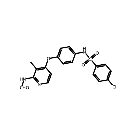 Cc1c(Oc2ccc(NS(=O)(=O)c3ccc(Cl)cc3)cc2)ccnc1NC=O